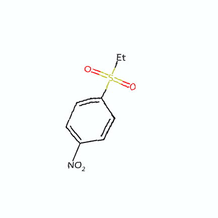 [CH2]CS(=O)(=O)c1ccc([N+](=O)[O-])cc1